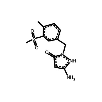 Cc1ccc(Cn2[nH]c(N)cc2=O)cc1S(C)(=O)=O